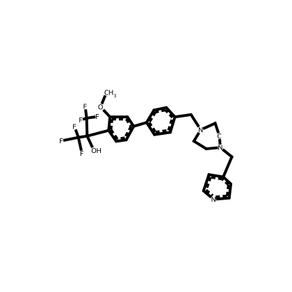 COc1cc(-c2ccc(CN3CCN(Cc4ccncc4)CC3)cc2)ccc1C(O)(C(F)(F)F)C(F)(F)F